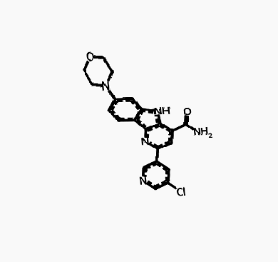 NC(=O)c1cc(-c2cncc(Cl)c2)nc2c1[nH]c1cc(N3CCOCC3)ccc12